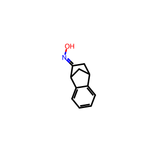 ON=C1CC2CC1c1ccccc12